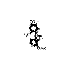 COc1nccc2c1ncn2-c1ccc(C(=O)O)cc1C(F)(F)F